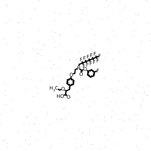 CCOC(Cc1ccc(OCCN(CC(F)(F)C(F)(F)C(F)(F)C(F)(F)C(F)(F)F)C(=O)Oc2cccc(F)c2)cc1)C(=O)O